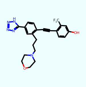 Oc1ccc(C#Cc2ccc(-c3nnn[nH]3)cc2CCCN2CCOCC2)c(C(F)(F)F)c1